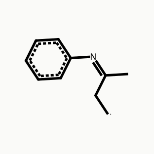 [CH2]CC(C)=Nc1ccccc1